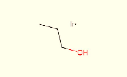 CCCO.[Ir]